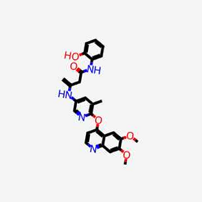 C=C(CC(=O)Nc1ccccc1O)Nc1cnc(Oc2ccnc3cc(OC)c(OC)cc23)c(C)c1